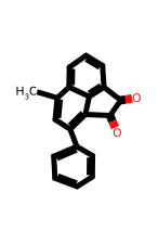 Cc1cc(-c2ccccc2)c2c3c(cccc13)C(=O)C2=O